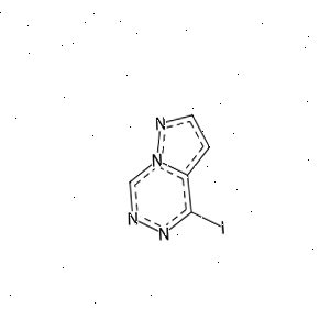 Ic1nncn2nccc12